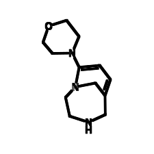 C1=C2CNCCN(C2)C(N2CCOCC2)=C1